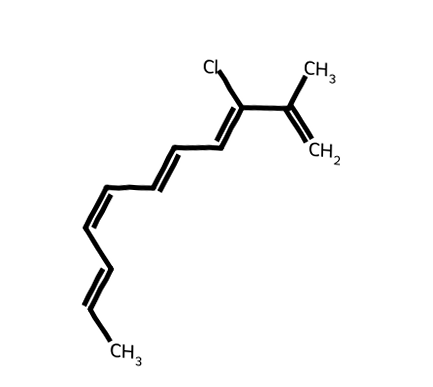 C=C(C)/C(Cl)=C/C=C/C=C\C=C\C